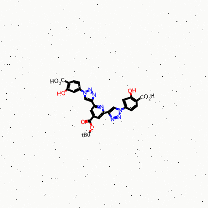 CC(C)(C)OC(=O)c1cc(-c2cn(-c3ccc(C(=O)O)c(O)c3)nn2)nc(-c2cn(-c3ccc(C(=O)O)c(O)c3)nn2)c1